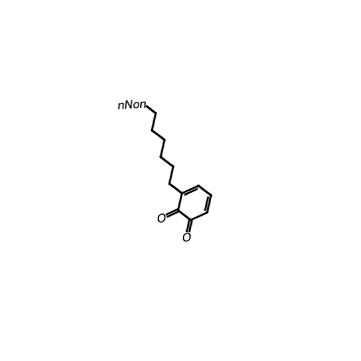 CCCCCCCCCCCCCCCC1=CC=CC(=O)C1=O